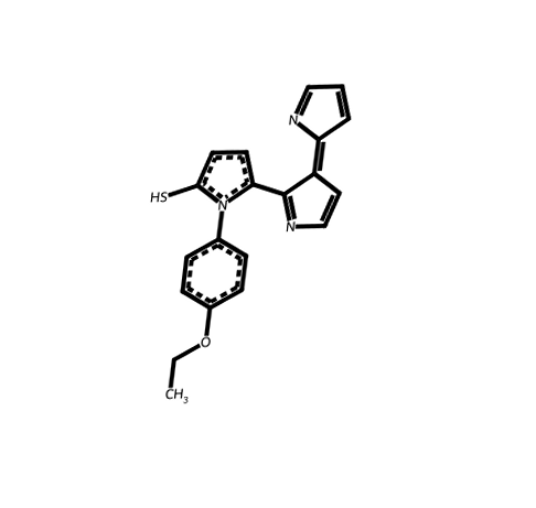 CCOc1ccc(-n2c(S)ccc2C2=NC=CC2=C2C=CC=N2)cc1